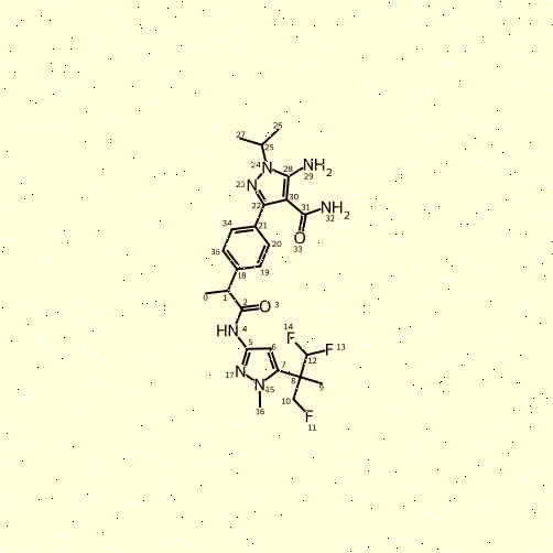 CC(C(=O)Nc1cc(C(C)(CF)C(F)F)n(C)n1)c1ccc(-c2nn(C(C)C)c(N)c2C(N)=O)cc1